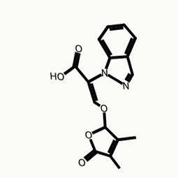 CC1=C(C)C(O/C=C(/C(=O)O)n2ncc3ccccc32)OC1=O